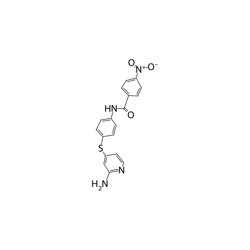 Nc1cc(Sc2ccc(NC(=O)c3ccc([N+](=O)[O-])cc3)cc2)ccn1